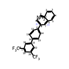 C=c1cccc/c1=C/C(=C\N)c1ccc(-c2cc(C(F)(F)F)cc(C(F)(F)F)c2)cc1